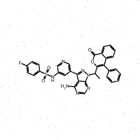 CC(c1oc(=O)c2ccccc2c1-c1ccccc1)n1nc(-c2cncc(NS(=O)(=O)c3ccc(F)cc3)c2)c2c(N)ncnc21